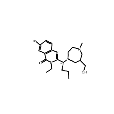 CCC[C@@H](c1nc2ccc(Br)cc2c(=O)n1CC)N1CCN(C)CC(CO)C1